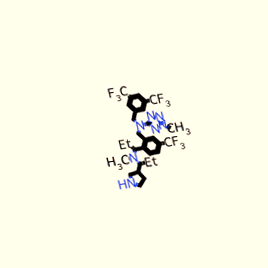 CCC(c1ccc(C(F)(F)F)cc1CN(Cc1cc(C(F)(F)F)cc(C(F)(F)F)c1)c1nnn(C)n1)N(C)C(CC)C1CCNC1